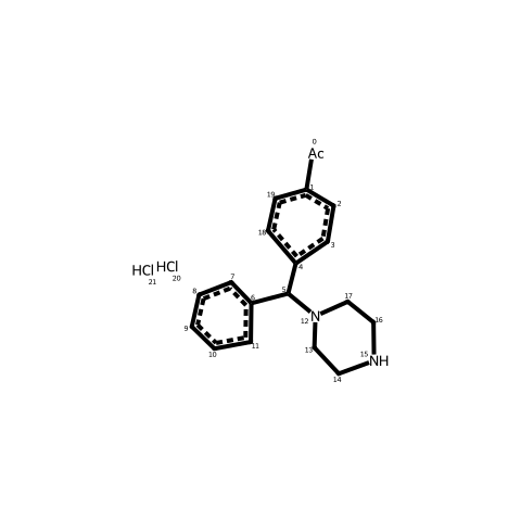 CC(=O)c1ccc(C(c2ccccc2)N2CCNCC2)cc1.Cl.Cl